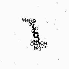 COC(O)C(Cc1ccc(OC(=O)CCS(=O)(=O)OC)cc1)NC(=O)OC(C)(C)C